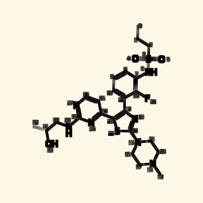 CCCS(=O)(=O)Nc1cccc(-c2nc(N3CCN(C)CC3)sc2-c2ccnc(NC[C@@H](C)O)n2)c1F